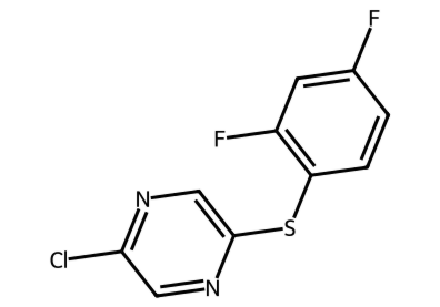 Fc1ccc(Sc2cnc(Cl)cn2)c(F)c1